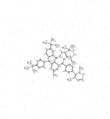 CC1=C(c2ccc(N3c4cc(C)cc5c4B(c4cc(C(C)(C)C)ccc4N5c4ccc(C(C)(C)C)cc4)C4SC5=C(C43)[C@H](C)CCC5(C)C)cc2)C(C)CC=C1